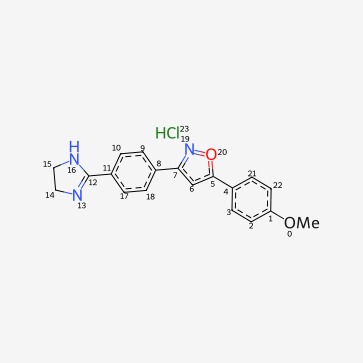 COc1ccc(-c2cc(-c3ccc(C4=NCCN4)cc3)no2)cc1.Cl